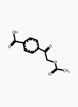 CC(=O)OCC(=O)c1ccc(C(=O)O)cc1